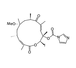 CO[C@]1(C)C[C@@H](C)C(=O)/C(C)=C/[C@](C)(OC(=O)n2ccnc2)[C@@H](I)OC(=O)/C(C)=C\[C@H](C)C1